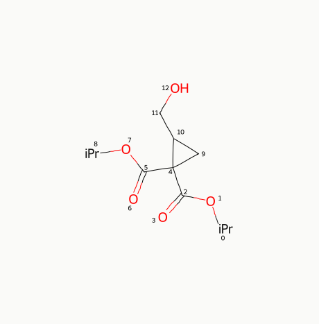 CC(C)OC(=O)C1(C(=O)OC(C)C)CC1CO